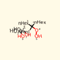 CCCCCCC(CCCCC)(CCCCCC)OO.O=C(O)O.O=C(O)O